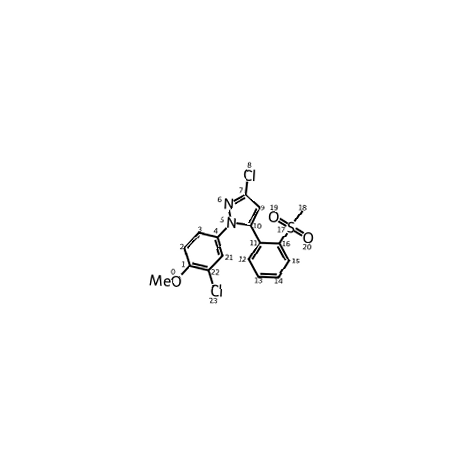 COc1ccc(-n2nc(Cl)cc2-c2ccccc2S(C)(=O)=O)cc1Cl